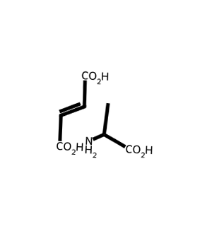 CC(N)C(=O)O.O=C(O)/C=C/C(=O)O